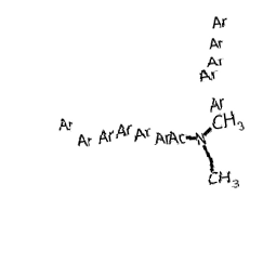 CC(=O)N(C)C.[Ar].[Ar].[Ar].[Ar].[Ar].[Ar].[Ar].[Ar].[Ar].[Ar].[Ar]